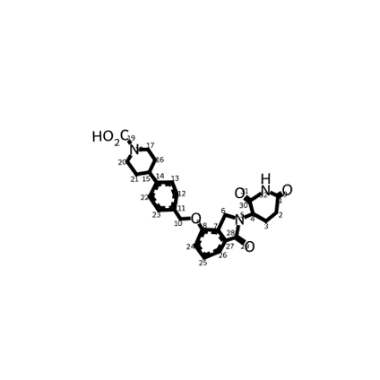 O=C1CCC(N2Cc3c(OCc4ccc(C5CCN(C(=O)O)CC5)cc4)cccc3C2=O)C(=O)N1